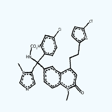 Cn1cncc1C(NC(=O)O)(c1ccc(Cl)cc1)c1ccc2c(c1)c(CCc1ccc(Cl)s1)cc(=O)n2C